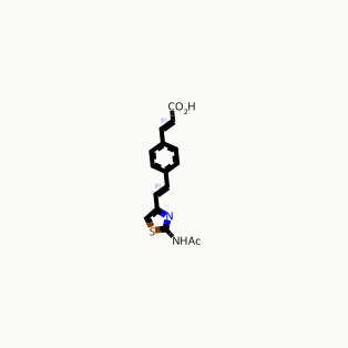 CC(=O)Nc1nc(/C=C/c2ccc(/C=C/C(=O)O)cc2)cs1